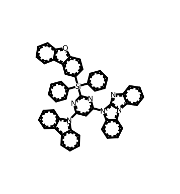 c1ccc([Si](c2ccccc2)(c2ccc3oc4ccccc4c3c2)c2nc(-n3c4ccccc4c4ccccc43)cc(-n3c4ccccc4n4c5ccccc5nc34)n2)cc1